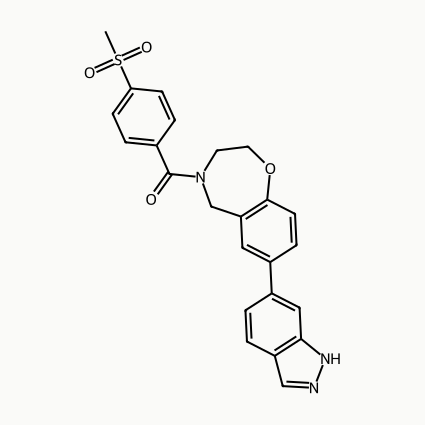 CS(=O)(=O)c1ccc(C(=O)N2CCOc3ccc(-c4ccc5cn[nH]c5c4)cc3C2)cc1